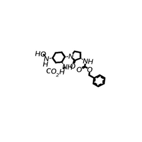 O=C(O)N[C@@H]1C[C@H](NO)CC[C@@H]1N1CC[C@H](NC(=O)OCc2ccccc2)C1=O